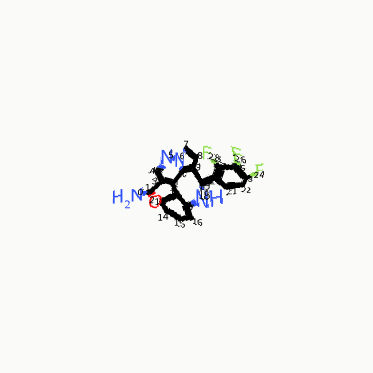 NC(=O)c1cnn2ccc3c2c1-c1ccccc1NC3c1ccc(F)c(F)c1F